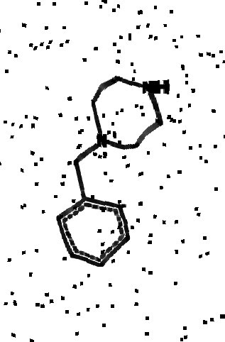 [c]1ccccc1CN1CCNCC1